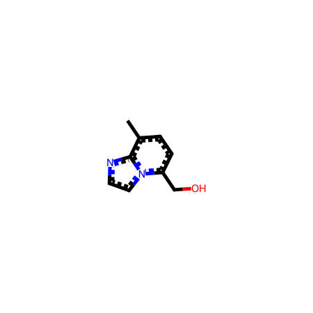 Cc1ccc(CO)n2ccnc12